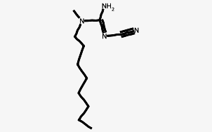 CCCCCCCCN(C)C(N)=NC#N